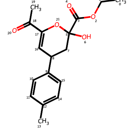 CCOC(=O)C1(O)CC(c2ccc(C)cc2)C=C(C(C)=O)O1